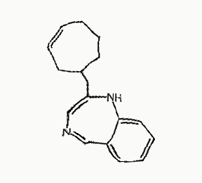 C1=CCC(C2=CN=Cc3ccccc3N2)CCC1